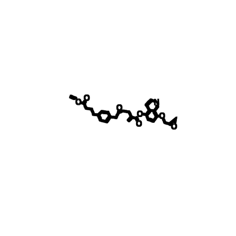 C=COC(=O)CCCc1ccc(CC2OC2CC(=C)C(=O)Oc2ccc(OCC3CO3)c3cnccc23)cc1